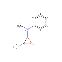 CC1OC1N(C)c1ccccc1